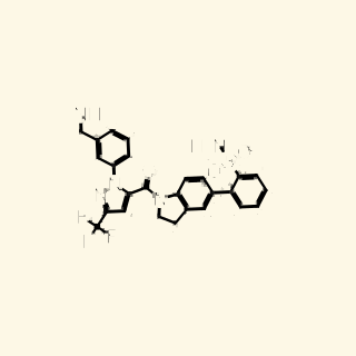 NCc1cccc(-n2nc(C(F)(F)F)cc2C(=O)N2CCc3cc(-c4ccccc4S(N)(=O)=O)ccc32)c1